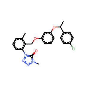 Cc1cccc(-n2nnn(C)c2=O)c1COc1cccc(OC(C)c2ccc(Cl)cc2)c1